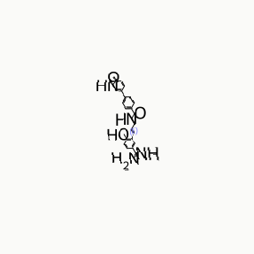 N=C(N)c1ccc(O)c(/C=C/CNC(=O)c2ccc(-c3ccc(=O)[nH]c3)cc2)c1